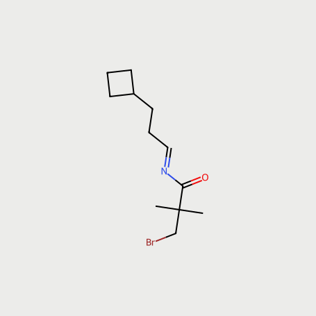 CC(C)(CBr)C(=O)/N=C/CCC1CCC1